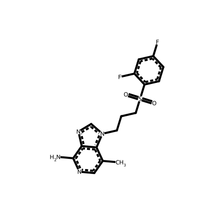 Cc1cnc(N)c2ncn(CCCS(=O)(=O)c3ccc(F)cc3F)c12